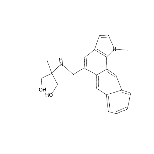 Cn1ccc2cc(CNC(C)(CO)CO)c3cc4ccccc4cc3c21